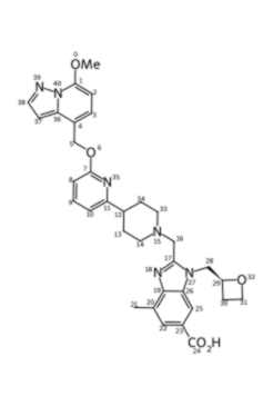 COc1ccc(COc2cccc(C3CCN(Cc4nc5c(C)cc(C(=O)O)cc5n4C[C@@H]4CCO4)CC3)n2)c2ccnn12